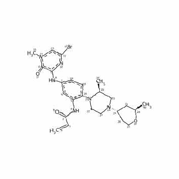 C=CC(=O)Nc1cc(Nc2nc(Br)cn(C)c2=O)ccc1N1CCN([C@H]2CCO[C@H](C)C2)C[C@@H]1C